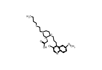 CCCCSCCN1CC[C@@H](CCCc2c(Cl)cnc3ccc(OC)cc23)[C@@H](CC(=O)O)C1